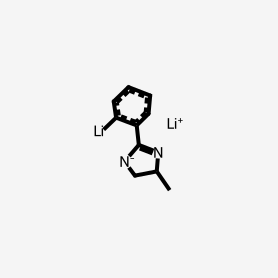 [Li+].[Li][c]1ccccc1C1=NC(C)C[N-]1